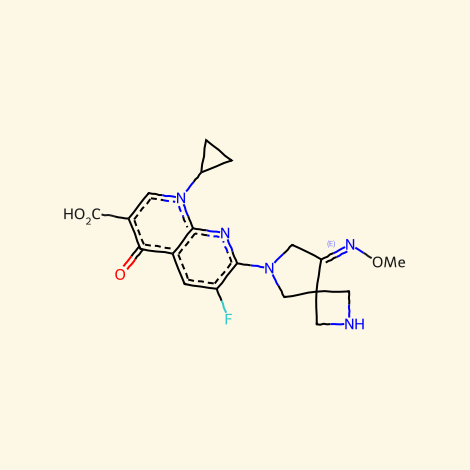 CO/N=C1/CN(c2nc3c(cc2F)c(=O)c(C(=O)O)cn3C2CC2)CC12CNC2